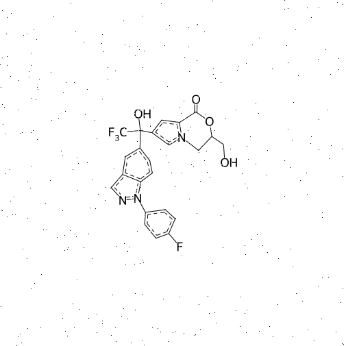 O=C1OC(CO)Cn2cc(C(O)(c3ccc4c(cnn4-c4ccc(F)cc4)c3)C(F)(F)F)cc21